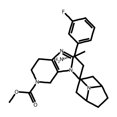 COC(=O)N1CCc2nc(C)n(C3CC4CCC(C3)N4CC[C@H](N)c3cccc(F)c3)c2C1